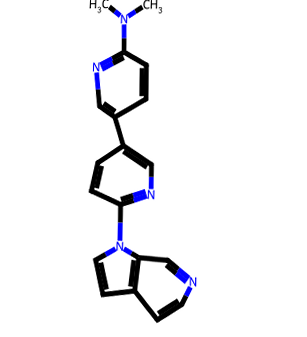 CN(C)c1ccc(-c2ccc(-n3ccc4ccncc43)nc2)cn1